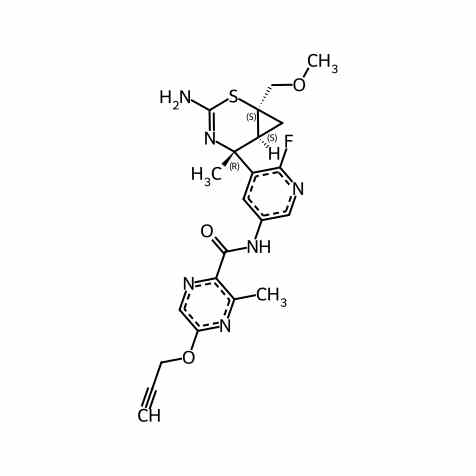 C#CCOc1cnc(C(=O)Nc2cnc(F)c([C@]3(C)N=C(N)S[C@@]4(COC)C[C@H]43)c2)c(C)n1